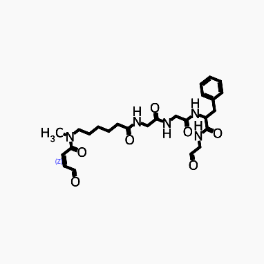 CN(CCCCCC(=O)NCC(=O)NCC(=O)NC(Cc1ccccc1)C(=O)NCC=O)C(=O)/C=C\C=O